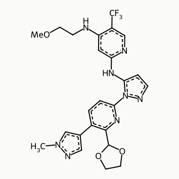 COCCNc1cc(Nc2ccnn2-c2ccc(-c3cnn(C)c3)c(C3OCCO3)n2)ncc1C(F)(F)F